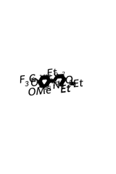 CCc1cc(OC(CC)CC)c(CC)nc1-c1ccc(OC(F)(F)F)cc1OC